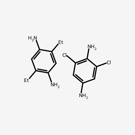 CCc1cc(N)c(CC)cc1N.Nc1cc(Cl)c(N)c(Cl)c1